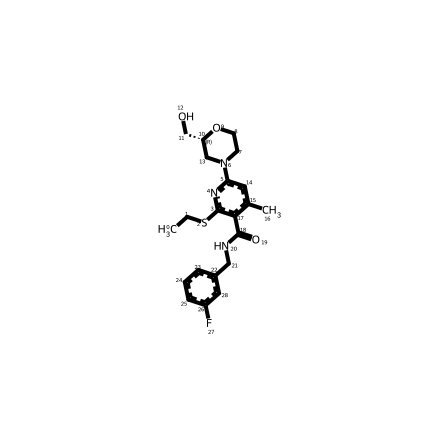 CCSc1nc(N2CCO[C@@H](CO)C2)cc(C)c1C(=O)NCc1cccc(F)c1